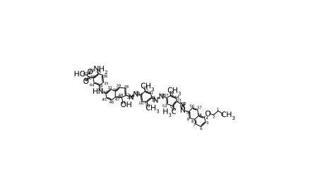 CCCOc1cccc2cc(N=Nc3cc(C)c(N=Nc4cc(C)c(N=Nc5ccc6cc(Nc7ccc(N)c(S(=O)(=O)O)c7)ccc6c5O)cc4C)cc3C)ccc12